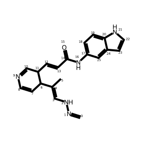 C=NN/C=C(\C)C1C=CN=CC1/C=C/C(=O)Nc1ccc2[nH]ccc2c1